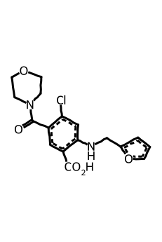 O=C(O)c1cc(C(=O)N2CCOCC2)c(Cl)cc1NCc1ccco1